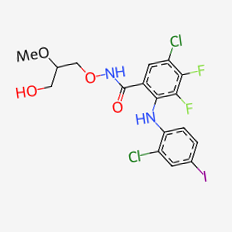 COC(CO)CONC(=O)c1cc(Cl)c(F)c(F)c1Nc1ccc(I)cc1Cl